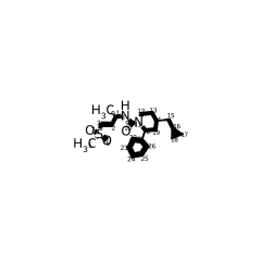 C[C@@H](/C=C/S(C)(=O)=O)NC(=O)N1CC[C@@H](CC2CC2)C[C@H]1c1ccccc1